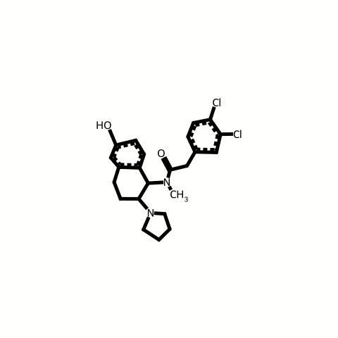 CN(C(=O)Cc1ccc(Cl)c(Cl)c1)C1c2ccc(O)cc2CCC1N1CCCC1